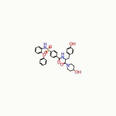 O=C(NC(Cc1ccc(O)cc1)C(=O)N1CCC(O)CC1)c1ccc(S(=O)(=O)Nc2ccccc2Oc2ccccc2)cc1